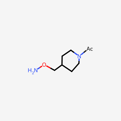 CC(=O)N1CCC(CON)CC1